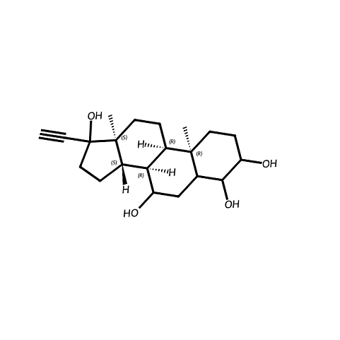 C#CC1(O)CC[C@H]2[C@@H]3C(O)CC4C(O)C(O)CC[C@]4(C)[C@@H]3CC[C@@]21C